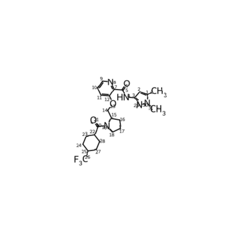 Cc1cc(NC(=O)c2ncccc2OCC2CCCN2C(=O)C2CCC(C(F)(F)F)CC2)nn1C